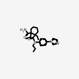 CCCN(C(=O)C1(CC)CCCCC1(CC)C(N)=O)c1ccc(-n2ccnc2)cc1